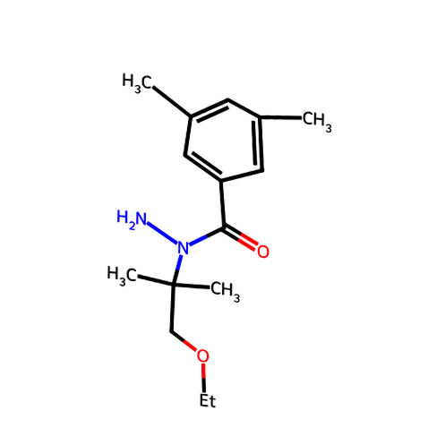 CCOCC(C)(C)N(N)C(=O)c1cc(C)cc(C)c1